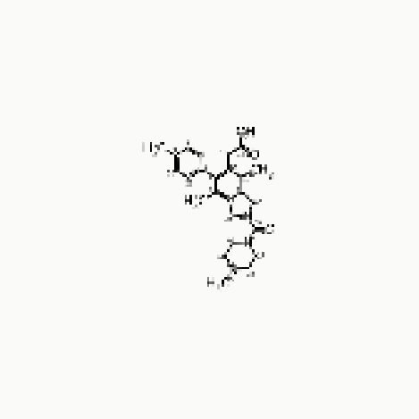 Cc1ccc(-c2c(C)c3c(c(C)c2CC(=O)O)CN(C(=O)N2CCN(C)CC2)C3)cc1